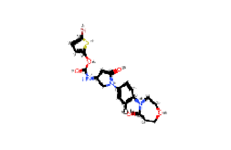 Cc1cc(N2CC(NC(=O)Oc3ccc(Br)s3)CC2=O)ccc1N1CCOCCC1=O